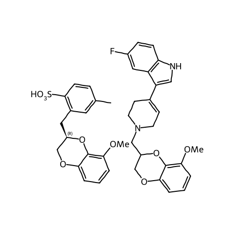 COc1cccc2c1OC(CN1CC=C(c3c[nH]c4ccc(F)cc34)CC1)CO2.COc1cccc2c1O[C@H](Cc1cc(C)ccc1S(=O)(=O)O)CO2